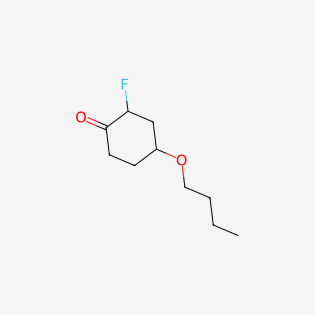 CCCCOC1CCC(=O)C(F)C1